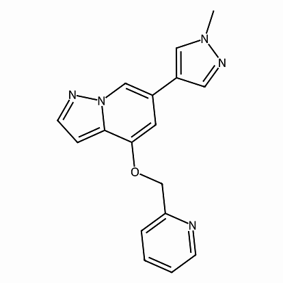 Cn1cc(-c2cc(OCc3ccccn3)c3ccnn3c2)cn1